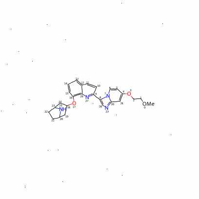 COCCOc1ccn2c(-c3ccc4cccc(OC5CC6CCC(C5)N6)c4n3)cnc2c1